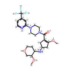 COC1=C(C(=O)N2CCN(c3cc(C(F)(F)F)ccn3)CC2)C[C@H](NC2CCOCC2OC)C1